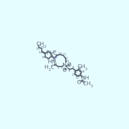 C=C1CCN(S(=O)(=O)CCc2ccc(NC(C)=O)cc2C)CCCC/C(C)=C(/C2CCC(=CCCC)CC2)N1